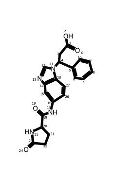 O=C(O)CC(c1ccccc1)n1cnc2cc(NC(=O)C3CCC(=O)N3)ccc21